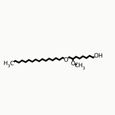 CCCCCCCCCCCCCCCCOCC(CCCCCCO)OC